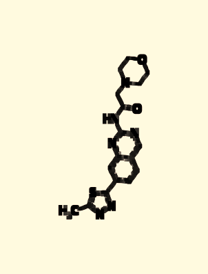 Cc1nnc(-c2ccc3cnc(NC(=O)CN4CCOCC4)nc3c2)s1